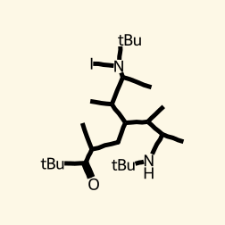 CC(CC(C(C)C(C)NC(C)(C)C)C(C)C(C)N(I)C(C)(C)C)C(=O)C(C)(C)C